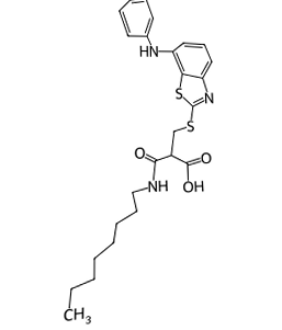 CCCCCCCCNC(=O)C(CSc1nc2cccc(Nc3ccccc3)c2s1)C(=O)O